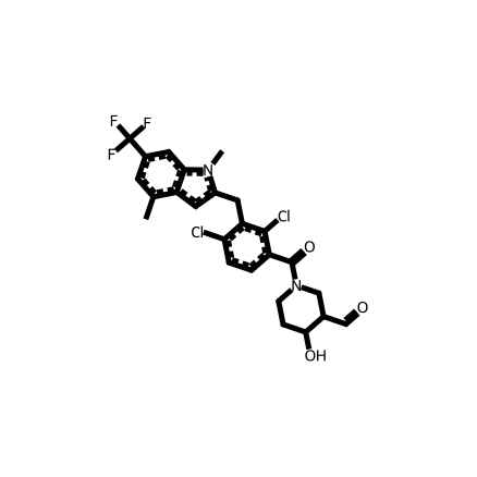 Cc1cc(C(F)(F)F)cc2c1cc(Cc1c(Cl)ccc(C(=O)N3CCC(O)C(C=O)C3)c1Cl)n2C